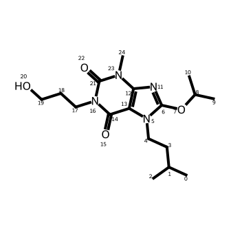 CC(C)CCn1c(OC(C)C)nc2c1c(=O)n(CCCO)c(=O)n2C